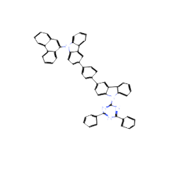 c1ccc(-c2nc(-c3ccccc3)nc(-n3c4ccccc4c4cc(-c5ccc(-c6ccc7c(c6)c6ccccc6n7-c6cc7ccccc7c7ccccc67)cc5)ccc43)n2)cc1